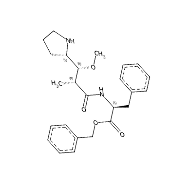 CO[C@@H]([C@@H]1CCCN1)[C@@H](C)C(=O)N[C@@H](Cc1ccccc1)C(=O)OCc1ccccc1